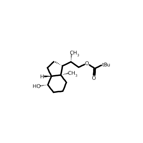 C[C@H](COC(=O)C(C)(C)C)[C@H]1CC[C@H]2[C@@H](O)CCC[C@]12C